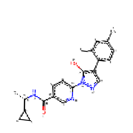 Cc1cc(C#N)ccc1-c1cnn(-c2ccc(C(=O)N[C@@H](C)C3CC3)cn2)c1O